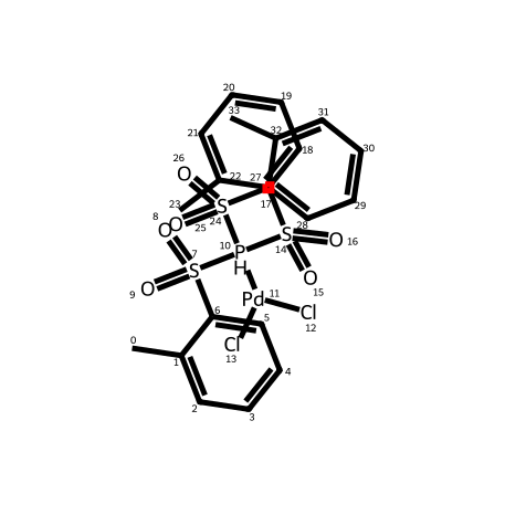 Cc1ccccc1S(=O)(=O)[PH]([Pd]([Cl])[Cl])(S(=O)(=O)c1ccccc1C)S(=O)(=O)c1ccccc1C